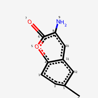 Cc1ccc2oc(=O)c(N)cc2c1